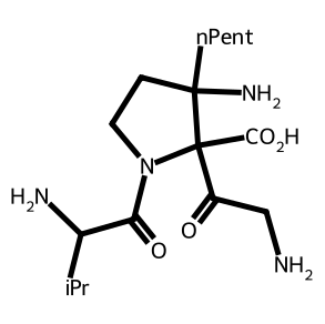 CCCCCC1(N)CCN(C(=O)C(N)C(C)C)C1(C(=O)O)C(=O)CN